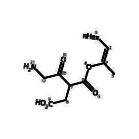 CCCCCCC=C(C)OC(=O)C(CC(=O)O)C(=O)CN